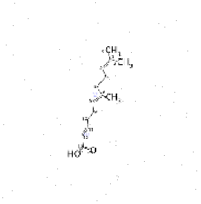 CC(C)=CCC/C(C)=C/CC/C=C/C(=O)O